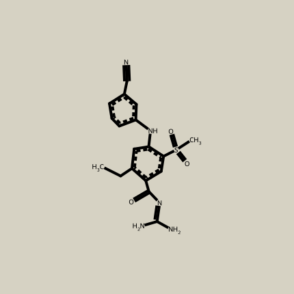 CCc1cc(Nc2cccc(C#N)c2)c(S(C)(=O)=O)cc1C(=O)N=C(N)N